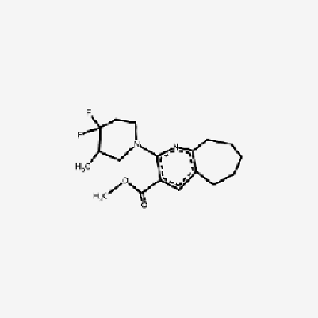 COC(=O)c1cc2c(nc1N1CCC(F)(F)C(C)C1)CCCCC2